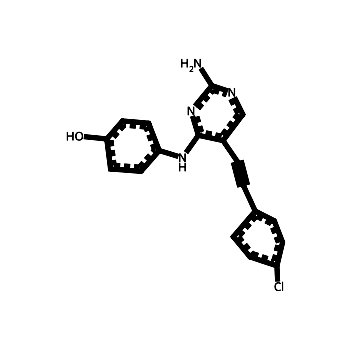 Nc1ncc(C#Cc2ccc(Cl)cc2)c(Nc2ccc(O)cc2)n1